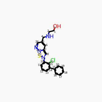 OCCNCC1=CC2=CN(c3cccc(-c4ccccc4)c3Cl)SN2N=C1